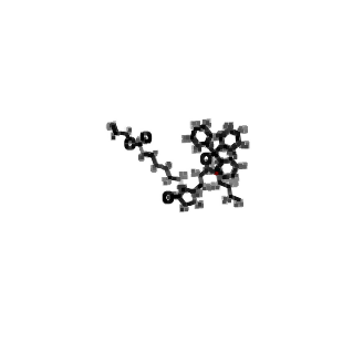 C=CCOC(=O)C=CCCCC[C@H]1C(=O)CC[C@@H]1CCC(CCCCC)OC(c1ccccc1)(c1ccccc1)c1ccccc1